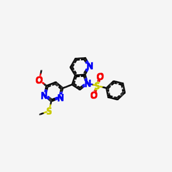 COc1cc(-c2cn(S(=O)(=O)c3ccccc3)c3ncccc23)nc(SC)n1